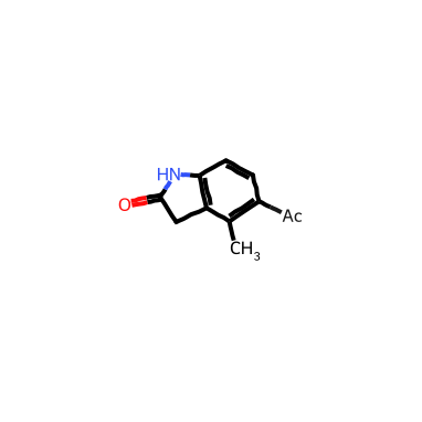 CC(=O)c1ccc2c(c1C)CC(=O)N2